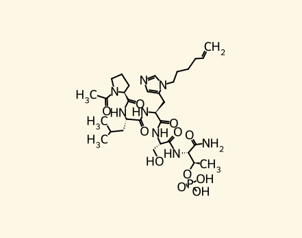 C=CCCCCn1cncc1C[C@H](NC(=O)[C@H](CC(C)C)NC(=O)[C@@H]1CCCN1C(C)=O)C(=O)N[C@@H](CO)C(=O)N[C@H](C(N)=O)[C@@H](C)OP(=O)(O)O